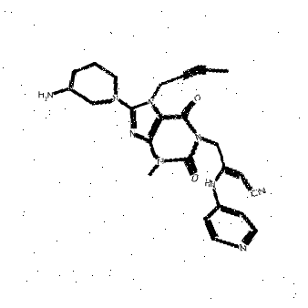 CC#CCn1c(N2CCCC(N)C2)nc2c1c(=O)n(C/C(=C/C#N)Nc1ccncc1)c(=O)n2C